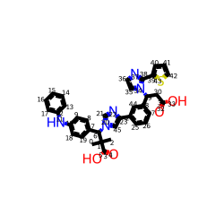 CC(C)(C(=O)O)C(c1ccc(Nc2ccccc2)cc1)n1cnc(-c2cccc(C(CC(=O)O)n3ccnc3-c3cccs3)c2)c1